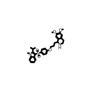 COc1cc2c(cc1OC)C(CCCOc1ccc(S(=O)(=O)c3c(C(C)C)n(C)c4ccccc34)cc1)NCC2